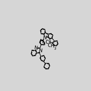 CC1(C)c2ccccc2-c2ccc3c4ccccc4n(-c4ccc(-c5nc(-c6ccc(-c7ccccc7)cc6)c6ccccc6n5)cc4)c3c21